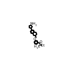 CCN(C)C(=O)c1cccc(OCC2CCc3cc(C4CCC(N)C4)ccc3C2)c1